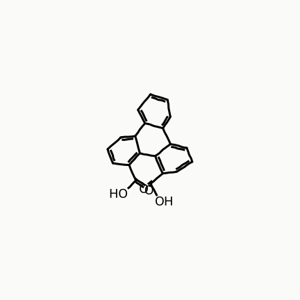 O=C(O)c1cccc2c3ccccc3c3cccc(C(=O)O)c3c12